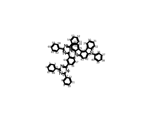 c1ccc(-c2nc(-c3ccccc3)nc(-c3ccc(-n4c5ccccc5c5c6c7ccccc7n(-c7ccccc7)c6ccc54)c(-c4nc(-c5ccccc5)nc(-c5ccccc5)n4)c3)n2)cc1